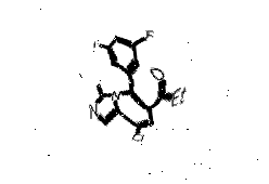 CCC(=O)c1cc(Cl)c2cnc(C)n2c1-c1cc(F)cc(F)c1